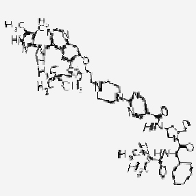 CN[C@@H](C)C(=O)NC(C(=O)N1CC(NC(=O)c2cnc(N3CCN(CCCOc4cc5ncnc(Nc6n[nH]c(C)c6C)c5cc4[S+]([O-])C(C)(C)C)CC3)nc2)CC1C=O)C1CCCCC1